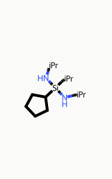 CC(C)N[Si](NC(C)C)(C(C)C)C1CCCC1